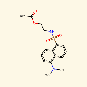 CCCC(=O)OCCNS(=O)(=O)c1cccc2c(N(C)C)cccc12